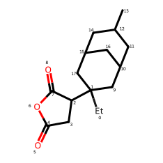 CCC1(C2CC(=O)OC2=O)CC2CC(C)CC(C2)C1